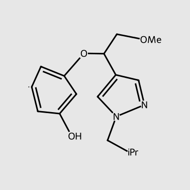 COCC(Oc1c[c]cc(O)c1)c1cnn(CC(C)C)c1